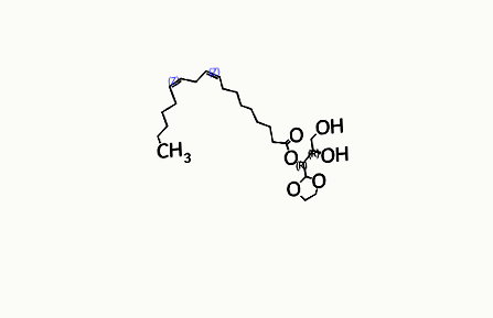 CCCCC/C=C\C/C=C\CCCCCCCC(=O)O[C@@H](C1OCCO1)[C@H](O)CO